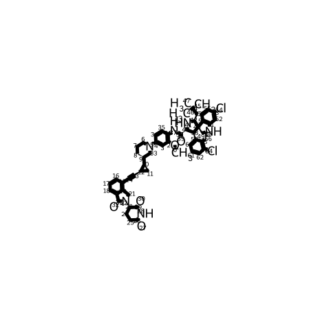 COc1cc(N2CCC[C@@H]([C@H]3C[C@H]3C#Cc3cccc4c3CN(C3CCC(=O)NC3=O)C4=O)C2)ccc1NC(=O)[C@@H]1N[C@@H](CC(C)(C)C)[C@@]2(CNc3cc(Cl)ccc32)[C@H]1c1cccc(Cl)c1F